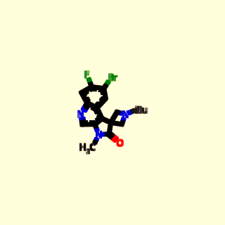 CCC(C)N1CC2(C1)C(=O)N(C)c1cnc3cc(F)c(Br)cc3c12